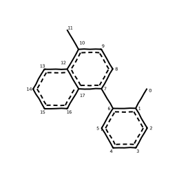 Cc1ccc[c]c1-c1ccc(C)c2ccccc12